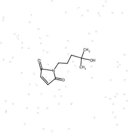 CC(C)(O)CCCN1C(=O)C=CC1=O